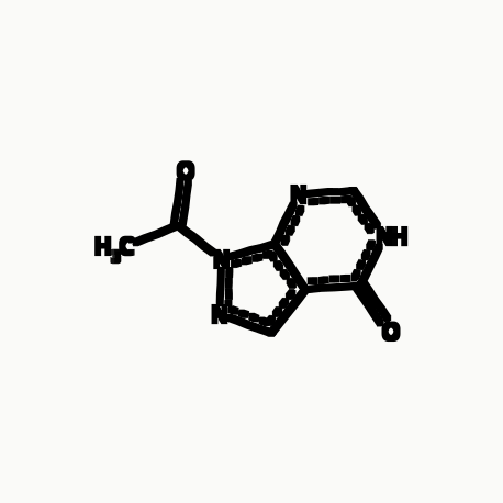 CC(=O)n1ncc2c(=O)[nH]cnc21